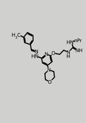 CCCNC(=N)NCCOc1cc(N2CCOCC2)cc(NN=Cc2cccc(C)c2)n1